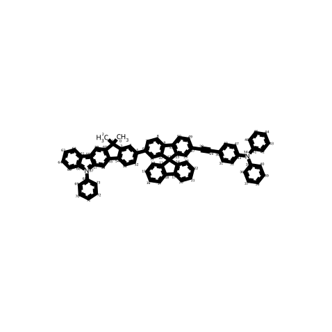 CC1(C)c2cc(-c3ccc4c(c3)C3(c5ccccc5-c5ccccc53)c3cc(C#Cc5ccc(N(c6ccccc6)c6ccccc6)cc5)ccc3-4)ccc2-c2cc3c(cc21)c1ccccc1n3-c1ccccc1